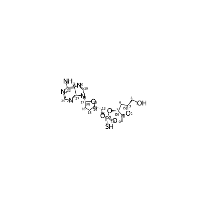 C[C@@H]1O[C@H](CO)C[C@@H]1OP(=O)(S)OC[C@@H]1CC[C@H](n2cnc3c(N)ncnc32)O1